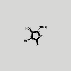 CC1N[C@@H](CO)C(O)[C@@H]1O